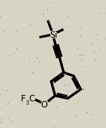 C[Si](C)(C)C#Cc1c[c]cc(OC(F)(F)F)c1